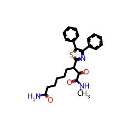 CNC(=O)C(=O)C(CCCCCC(N)=O)c1nc(-c2ccccc2)c(-c2ccccc2)s1